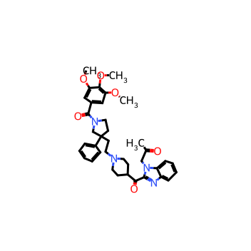 COc1cc(C(=O)N2CCC(CCN3CCC(C(=O)c4nc5ccccc5n4CC(C)=O)CC3)(c3ccccc3)C2)cc(OC)c1OC